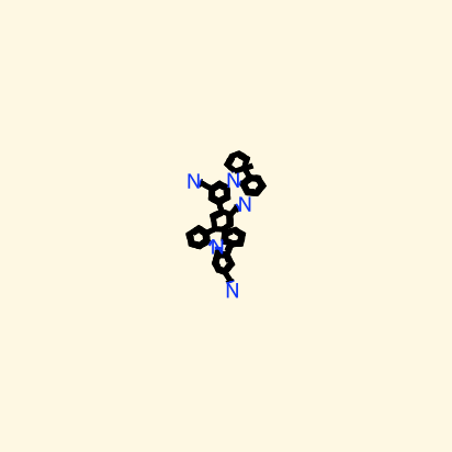 CC12C=CC=CC1N(c1cc(C#N)cc(C3=CC(c4ccccc4-n4c5ccccc5c5cc(C#N)ccc54)CC=C3C#N)c1)c1ccccc12